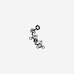 O=C1COC(Cn2cc(C(=O)NCc3nnc(-c4ccccc4)s3)nn2)CN1